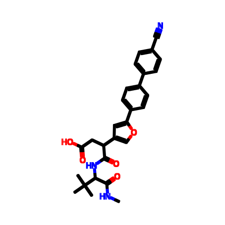 CNC(=O)C(NC(=O)C(CC(=O)O)c1coc(-c2ccc(-c3ccc(C#N)cc3)cc2)c1)C(C)(C)C